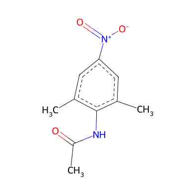 CC(=O)Nc1c(C)cc([N+](=O)[O-])cc1C